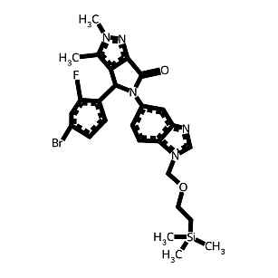 Cc1c2c(nn1C)C(=O)N(c1ccc3c(c1)ncn3COCC[Si](C)(C)C)C2c1ccc(Br)cc1F